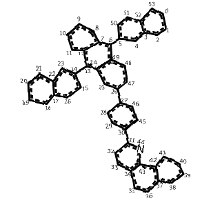 c1ccc2cc(-c3c4ccccc4c(-c4ccc5ccccc5c4)c4cc(-c5ccc(-c6ccc7ccc8ccccc8c7n6)cc5)ccc34)ccc2c1